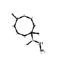 CC1CCCC(C)(N(C)BN)CCC1